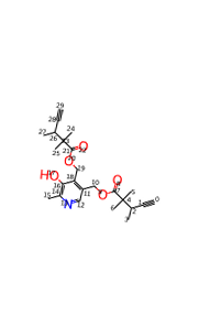 C#CC(C)C(C)(C)C(=O)OCc1cnc(C)c(O)c1COC(=O)C(C)(C)C(C)C#C